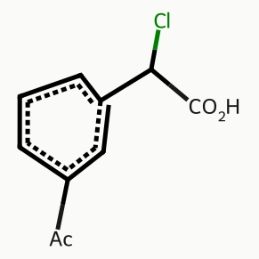 CC(=O)c1cccc(C(Cl)C(=O)O)c1